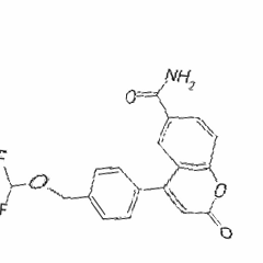 NC(=O)c1ccc2oc(=O)cc(-c3ccc(COC(F)F)cc3)c2c1